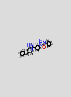 N=C(c1cccc(NC(=O)Nc2ccccc2)c1)N1CCC(Cc2ccccc2)CC1